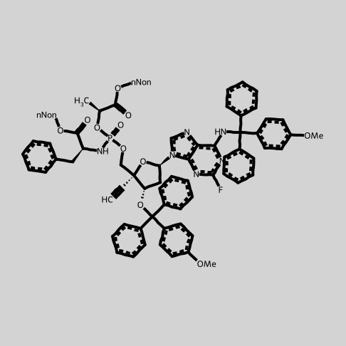 C#C[C@]1(COP(=O)(N[C@@H](Cc2ccccc2)C(=O)OCCCCCCCCC)O[C@@H](C)C(=O)OCCCCCCCCC)O[C@@H](n2cnc3c(NC(c4ccccc4)(c4ccccc4)c4ccc(OC)cc4)nc(F)nc32)C[C@@H]1OC(c1ccccc1)(c1ccccc1)c1ccc(OC)cc1